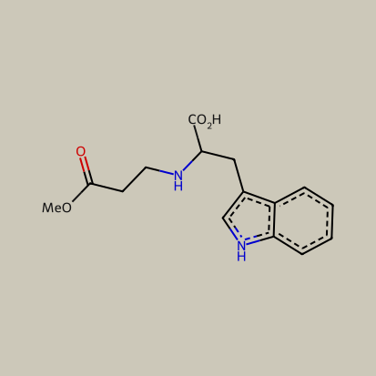 COC(=O)CCNC(Cc1c[nH]c2ccccc12)C(=O)O